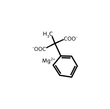 CC(C(=O)[O-])(C(=O)[O-])c1ccccc1.[Mg+2]